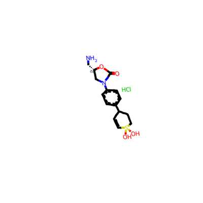 Cl.NC[C@H]1CN(c2ccc(C3C=CS(O)(O)CC3)cc2)C(=O)O1